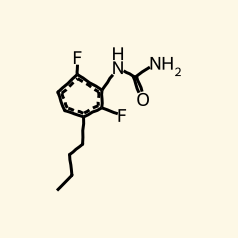 CCCCc1ccc(F)c(NC(N)=O)c1F